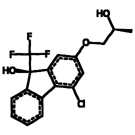 C[C@H](O)COc1cc(Cl)c2c(c1)[C@@](O)(C(F)(F)F)c1ccccc1-2